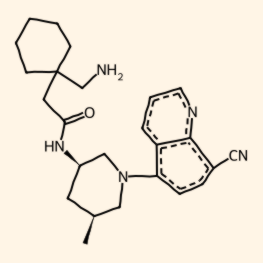 C[C@H]1C[C@@H](NC(=O)CC2(CN)CCCCC2)CN(c2ccc(C#N)c3ncccc23)C1